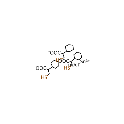 CCCCCCC[CH2][Sn+3].O=C([O-])C(CS)C1CCCCC1.O=C([O-])C(CS)C1CCCCC1.O=C([O-])C(CS)C1CCCCC1